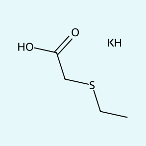 CCSCC(=O)O.[KH]